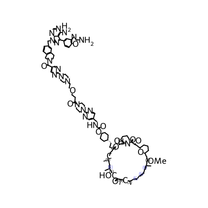 CO[C@H]1CC2CCCC(O2)C(=O)C(=O)N2CCCC[C@H]2C(=O)O[C@H](CC[C@H]2CC[C@H](OC(=O)NCc3cnc(N4CCN(C(=O)CCOCCN5CCN(c6ncc(C(=O)N7CCc8cc(Cn9nc(-c%10ccc%11oc(N)nc%11c%10)c%10c(N)ncnc%109)ccc8C7)cn6)CC5)CC4)nc3)CC2)CC[C@H](C)/C=C(\C)[C@@H](O)CC(=O)[C@H](C)C[C@H](C)/C=C/C=C/C=C/1C